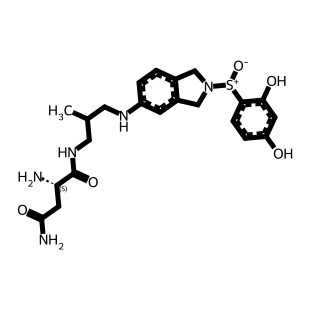 CC(CNC(=O)[C@@H](N)CC(N)=O)CNc1ccc2c(c1)CN([S+]([O-])c1ccc(O)cc1O)C2